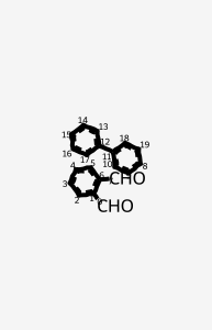 O=Cc1ccccc1C=O.c1ccc(-c2ccccc2)cc1